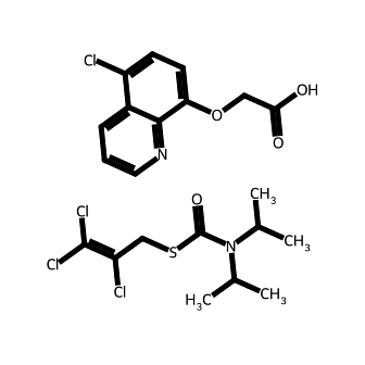 CC(C)N(C(=O)SCC(Cl)=C(Cl)Cl)C(C)C.O=C(O)COc1ccc(Cl)c2cccnc12